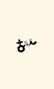 C=CC(=O)O[SiH2]c1ccccc1C(C)(C)C